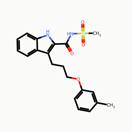 Cc1cccc(OCCCc2c(C(=O)NS(C)(=O)=O)[nH]c3ccccc23)c1